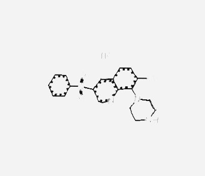 Cl.O=S(=O)(c1ccccc1)c1cnc2c(N3CCNCC3)c(Cl)ccc2c1